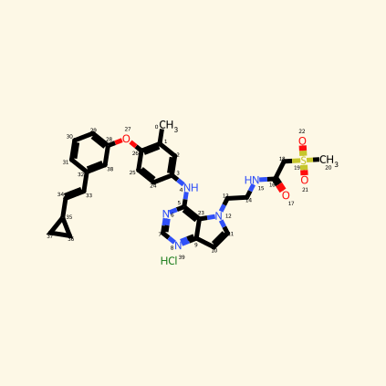 Cc1cc(Nc2ncnc3ccn(CCNC(=O)CS(C)(=O)=O)c23)ccc1Oc1cccc(C=CC2CC2)c1.Cl